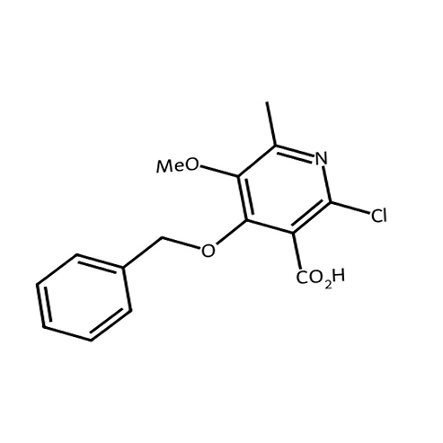 COc1c(C)nc(Cl)c(C(=O)O)c1OCc1ccccc1